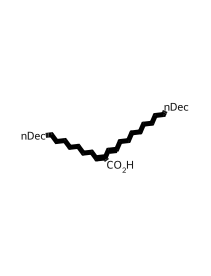 CCCCCCCCCCCCCCCCCC=C(C=CCCCCCCCCCCCCCCCCCC)C(=O)O